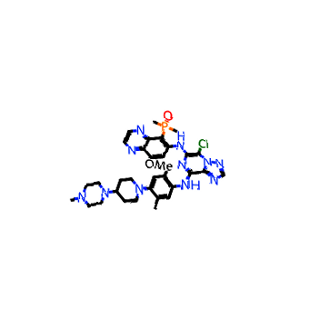 COc1cc(N2CCC(N3CCN(C)CC3)CC2)c(C)cc1Nc1nc(Nc2ccc3nccnc3c2P(C)(C)=O)c(Cl)n2ncnc12